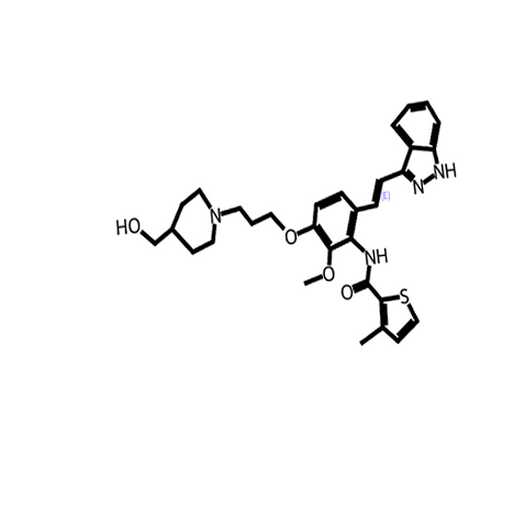 COc1c(OCCCN2CCC(CO)CC2)ccc(/C=C/c2n[nH]c3ccccc23)c1NC(=O)c1sccc1C